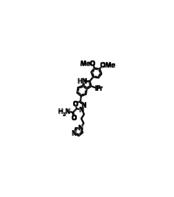 COc1ccc(-c2[nH]c3ccc(C4=NN(CCCn5ccnc5)C(C(N)=O)O4)cc3c2C(C)C)cc1OC